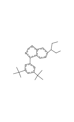 CCC(CC)c1ccc2c(-c3cc(C(C)(C)C)cc(C(C)(C)C)c3)nccc2c1